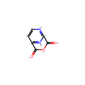 O=C1OC(=O)c2nccc1n2